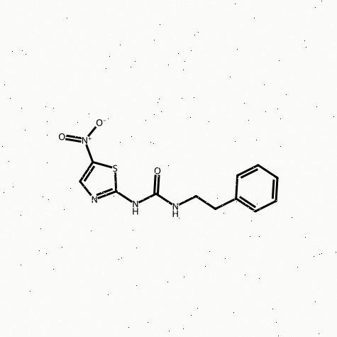 O=C(NCCc1ccccc1)Nc1ncc([N+](=O)[O-])s1